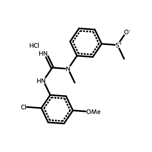 COc1ccc(Cl)c(NC(=N)N(C)c2cccc([S+](C)[O-])c2)c1.Cl